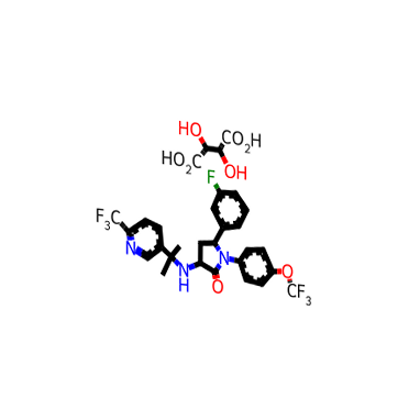 CC(C)(NC1CC(c2cccc(F)c2)N(c2ccc(OC(F)(F)F)cc2)C1=O)c1ccc(C(F)(F)F)nc1.O=C(O)C(O)C(O)C(=O)O